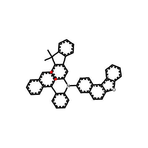 CC1(C)c2ccccc2-c2cc(N(c3ccc4c(ccc5oc6ccccc6c54)c3)c3ccccc3-c3cccc4ccccc34)ccc21